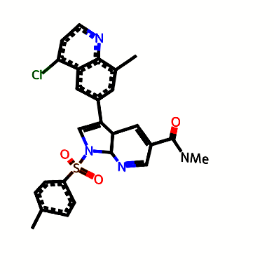 CNC(=O)C1=CC2C(c3cc(C)c4nccc(Cl)c4c3)=CN(S(=O)(=O)c3ccc(C)cc3)C2N=C1